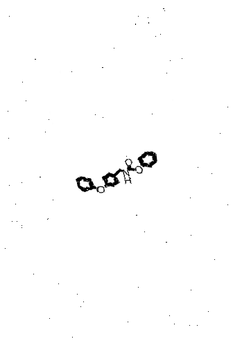 O=C(NCc1ccc(Oc2ccccc2)cc1)Oc1ccccc1